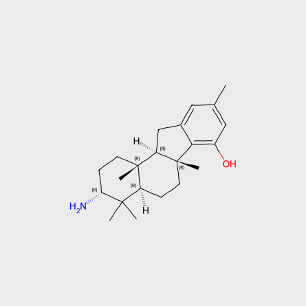 Cc1cc(O)c2c(c1)C[C@@H]1[C@@]3(C)CC[C@@H](N)C(C)(C)[C@@H]3CC[C@@]21C